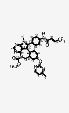 Cc1ccnc(Oc2ccc3c(c2)CN(C(=O)OC(C)(C)C)c2ncnc4c2c-3c(-c2ccc(NC(=O)/C=C/C(F)(F)F)cc2)n4C)n1